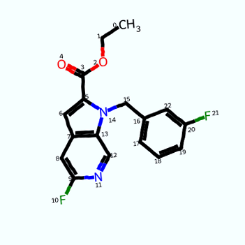 CCOC(=O)c1cc2cc(F)ncc2n1Cc1cccc(F)c1